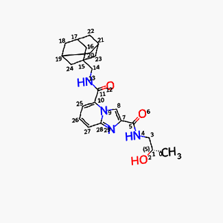 C[C@H](O)CNC(=O)c1cn2c(C(=O)NCC34CC5CC(CC(C5)C3)C4)cccc2n1